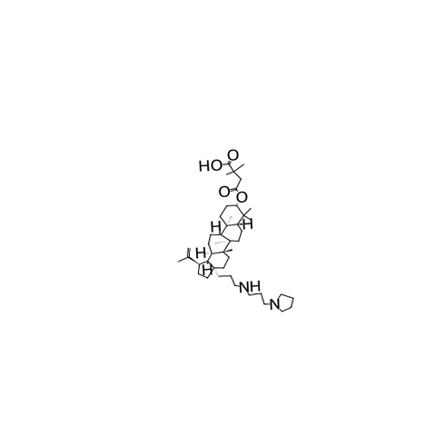 C=C(C)[C@@H]1CC[C@]2(CCCNCCCN3CCCC3)CC[C@]3(C)[C@H](CC[C@@H]4[C@@]5(C)CC[C@H](OC(=O)CC(C)(C)C(=O)O)C(C)(C)[C@@H]5CC[C@]43C)[C@@H]12